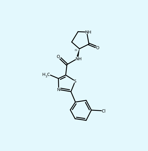 Cc1nc(-c2cccc(Cl)c2)sc1C(=O)N[C@H]1CCNC1=O